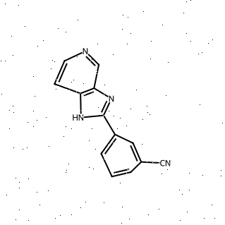 N#Cc1cccc(-c2nc3cnccc3[nH]2)c1